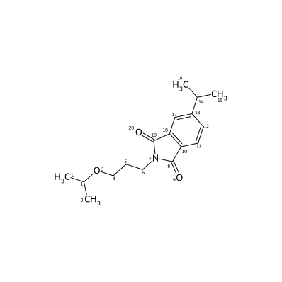 CC(C)OCCCN1C(=O)c2ccc(C(C)C)cc2C1=O